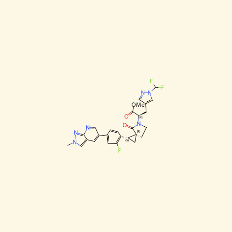 COC(=O)[C@@H](Cc1cnn(C(F)F)c1)N1CC[C@@]2(C[C@@H]2c2ccc(-c3cnc4nn(C)cc4c3)cc2F)C1=O